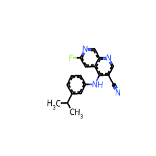 CC(C)c1cccc(Nc2c(C#N)cnc3cnc(F)cc23)c1